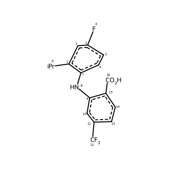 CC(C)c1cc(F)ccc1Nc1cc(C(F)(F)F)ccc1C(=O)O